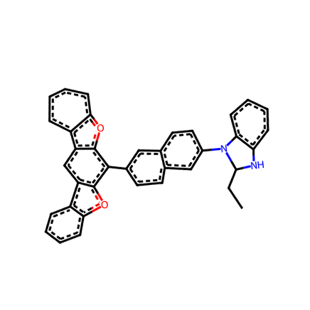 CCC1Nc2ccccc2N1c1ccc2cc(-c3c4oc5ccccc5c4cc4c3oc3ccccc34)ccc2c1